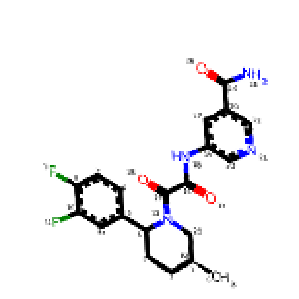 C[C@H]1CCC(c2ccc(F)c(F)c2)N(C(=O)C(=O)Nc2cncc(C(N)=O)c2)C1